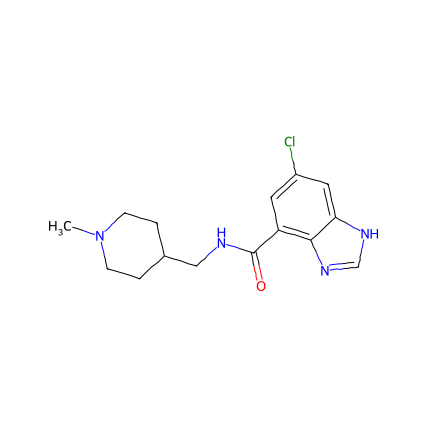 CN1CCC(CNC(=O)c2cc(Cl)cc3[nH]cnc23)CC1